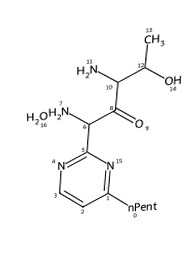 CCCCCc1ccnc(C(N)C(=O)C(N)C(C)O)n1.O